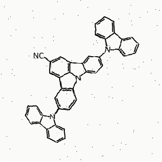 N#Cc1cc2c3cc(-n4c5ccccc5c5ccccc54)ccc3n3c4ccc(-n5c6ccccc6c6ccccc65)cc4c(c1)c23